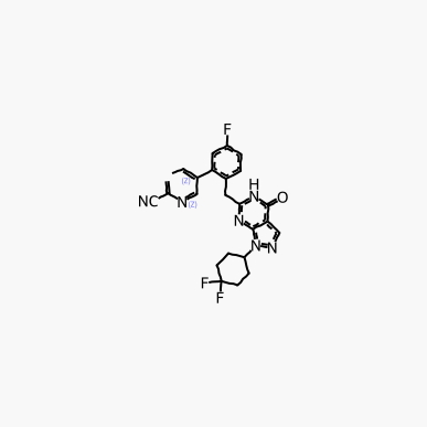 C=C(C#N)/N=C\C(=C/C)c1cc(F)ccc1Cc1nc2c(cnn2C2CCC(F)(F)CC2)c(=O)[nH]1